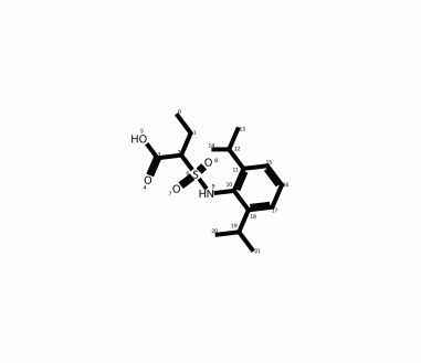 CCC(C(=O)O)S(=O)(=O)Nc1c(C(C)C)cccc1C(C)C